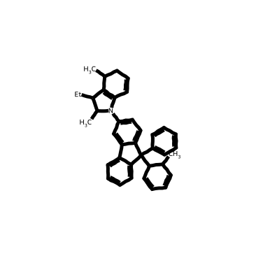 CCC1C2=C(C=CCC2C)N(c2ccc3c(c2)-c2ccccc2C3(c2ccccc2)C2C=CC=CC2C)C1C